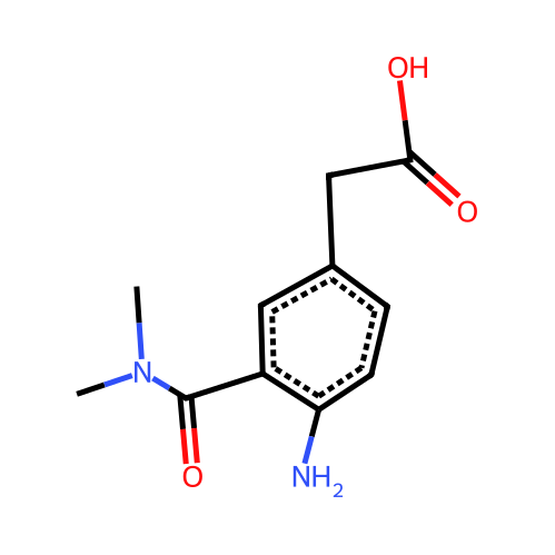 CN(C)C(=O)c1cc(CC(=O)O)ccc1N